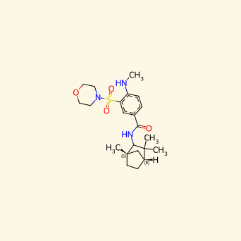 CNc1ccc(C(=O)NC2C(C)(C)[C@@H]3CC[C@@]2(C)C3)cc1S(=O)(=O)N1CCOCC1